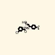 CN(C)c1ccc(C(/C=N/O)=N/NC(=O)c2cccc(Cl)c2)cc1